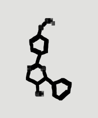 COc1ccc(C2=NCC(O)C(c3ccccc3)O2)cc1